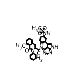 Cc1cccc2cc(C(C)Nc3ncnc4[nH]cc(-c5cccc(NS(C)(=O)=O)c5)c34)n(-c3ccccc3)c(=O)c12